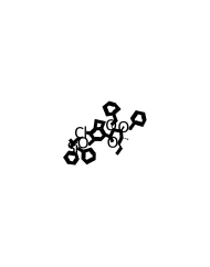 CC[C@H]1OC(c2cc(CO[Si](c3ccccc3)(c3ccccc3)C(C)(C)C)c(Cl)c3c2CC3)[C@H](OCc2ccccc2)[C@@H](OCc2ccccc2)[C@@H]1C